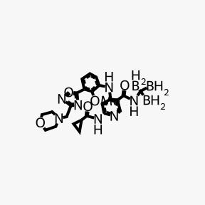 BC(B)(B)NC(=O)c1cnc(NC(=O)C2CC2)cc1Nc1cccc(-c2nc(CN3CCOCC3)no2)c1OC